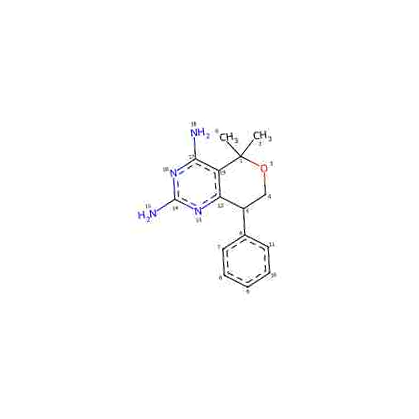 CC1(C)OCC(c2ccccc2)c2nc(N)nc(N)c21